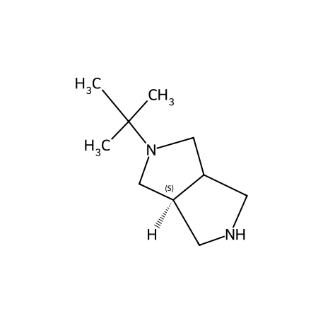 CC(C)(C)N1CC2CNC[C@H]2C1